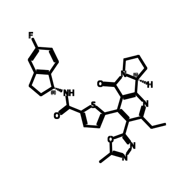 CCc1nc2c(c(-c3ccc(C(=O)N[C@@H]4CCc5cc(F)ccc54)s3)c1-c1nnc(C)o1)C(=O)N1CCC[C@@H]21